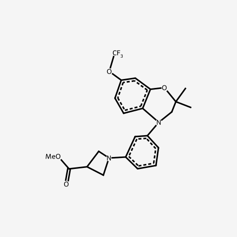 COC(=O)C1CN(c2cccc(N3CC(C)(C)Oc4cc(OC(F)(F)F)ccc43)c2)C1